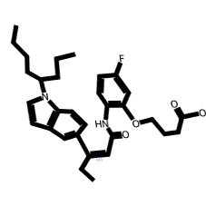 CCCCC(CCC)n1ccc2cc(/C(=C\C(=O)Nc3ccc(F)cc3OCCCC(=O)O)CC)ccc21